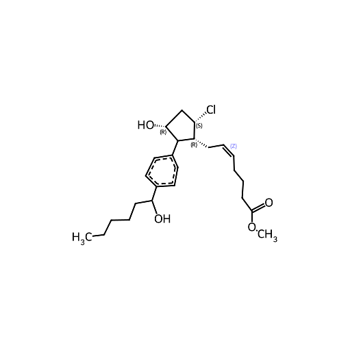 CCCCCC(O)c1ccc(C2[C@H](O)C[C@H](Cl)[C@@H]2C/C=C\CCCC(=O)OC)cc1